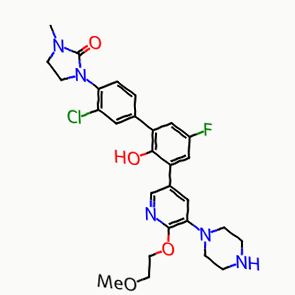 COCCOc1ncc(-c2cc(F)cc(-c3ccc(N4CCN(C)C4=O)c(Cl)c3)c2O)cc1N1CCNCC1